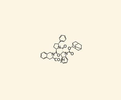 O=C(O)[C@H]1Cc2ccccc2CN1C(=O)[C@H]1CC[C@@H](c2ccccc2)N1C(=O)[C@H]1Cc2ccccc2N1C(=O)OC1C2CC3CC(C2)CC1C3